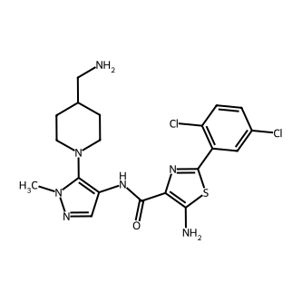 Cn1ncc(NC(=O)c2nc(-c3cc(Cl)ccc3Cl)sc2N)c1N1CCC(CN)CC1